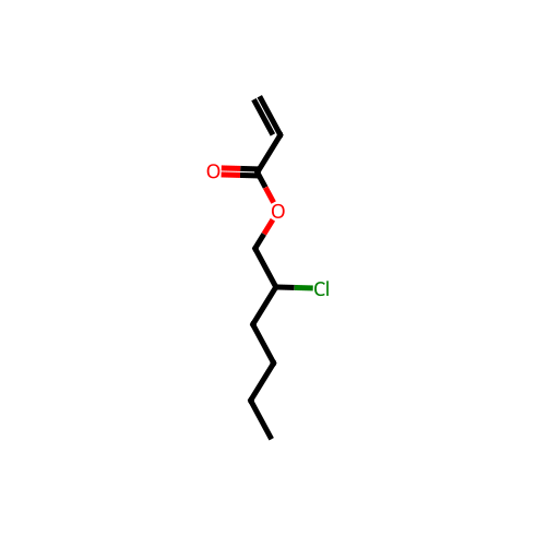 C=CC(=O)OCC(Cl)CCCC